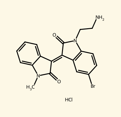 CN1C(=O)/C(=C2/C(=O)N(CCN)c3ccc(Br)cc32)c2ccccc21.Cl